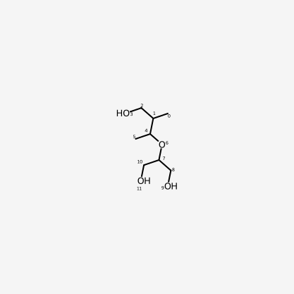 CC(CO)C(C)OC(CO)CO